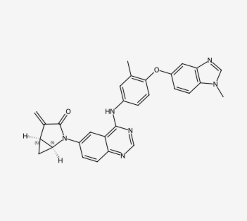 C=C1C(=O)N(c2ccc3ncnc(Nc4ccc(Oc5ccc6c(c5)ncn6C)c(C)c4)c3c2)[C@H]2C[C@@H]12